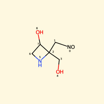 O=NCC1(CO)NCC1O